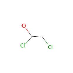 [O]C(Cl)CCl